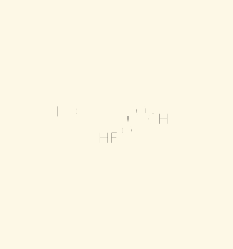 CCCCC(=O)OC.F